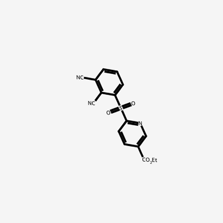 CCOC(=O)c1ccc(S(=O)(=O)c2cccc(C#N)c2C#N)nc1